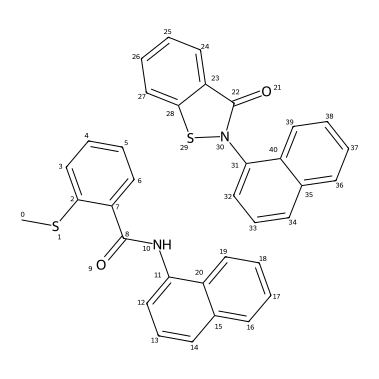 CSc1ccccc1C(=O)Nc1cccc2ccccc12.O=c1c2ccccc2sn1-c1cccc2ccccc12